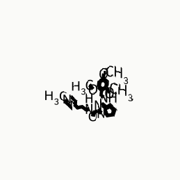 COc1cc(OC)c(CNc2nc(C(=O)NCCCN3CCN(C)CC3)nc3ccccc23)c(OC)c1